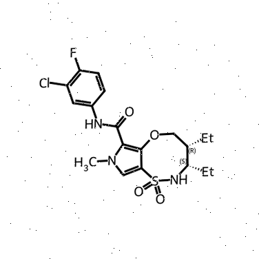 CC[C@H]1COc2c(cn(C)c2C(=O)Nc2ccc(F)c(Cl)c2)S(=O)(=O)N[C@H]1CC